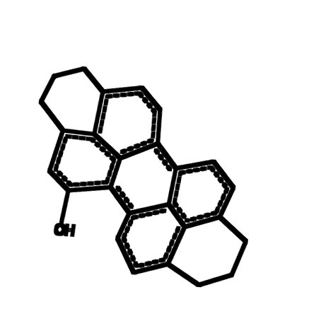 Oc1cc2c3c(ccc4c5ccc6c7c(ccc(c1c34)c75)CCC6)CCC2